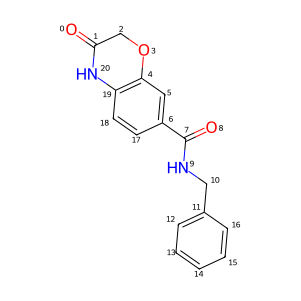 O=C1COc2cc(C(=O)NCc3ccccc3)ccc2N1